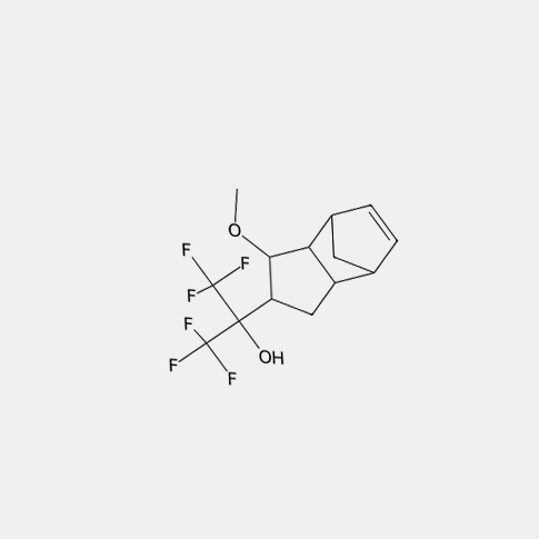 COC1C2C3C=CC(C3)C2CC1C(O)(C(F)(F)F)C(F)(F)F